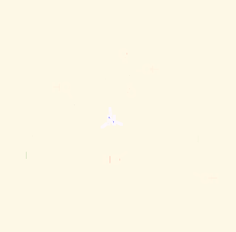 CS(=O)(=O)O.Oc1ccc(C(O)CN2CCC(O)(c3cccc(F)c3)CC2)cc1F